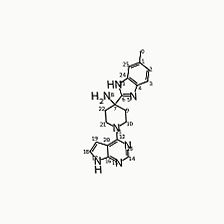 Cc1ccc2nc(C3(N)CCN(c4ncnc5[nH]ccc45)CC3)[nH]c2c1